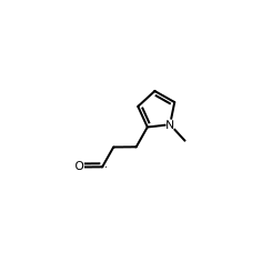 Cn1cccc1CC[C]=O